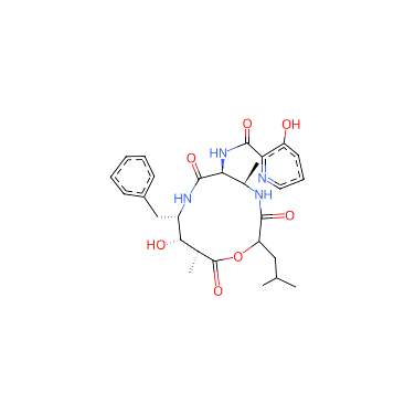 CC(C)CC1OC(=O)[C@H](C)[C@H](O)[C@H](Cc2ccccc2)NC(=O)[C@@H](NC(=O)c2ncccc2O)[C@@H](C)NC1=O